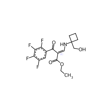 CCOC(=O)/C(=C/NC1(CO)CCC1)C(=O)c1cc(F)c(F)c(F)c1F